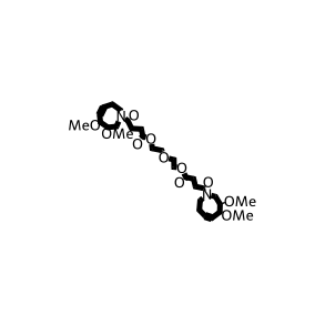 CO[C@H]1C#CCCN(C(=O)CCC(=O)OCCOCCOC(=O)CCC(=O)N2CCC#C[C@H](OC)[C@@H](OC)C2)C[C@@H]1OC